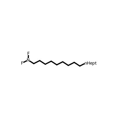 CCCCCCCCCCCCCCCCN(F)F